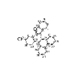 ClC1=CC(c2cc3ccccc3o2)=C(c2cc3ccccc3c3ccccc23)CC1